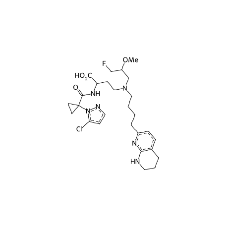 COC(CF)CN(CCCCc1ccc2c(n1)NCCC2)CCC(NC(=O)C1(n2nccc2Cl)CC1)C(=O)O